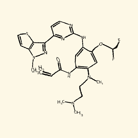 C=CC(=O)Nc1cc(Nc2nccc(-c3nn(C)c4ccsc34)n2)c(OC(F)F)cc1N(C)CCN(C)C